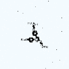 COCCOc1cc(-c2ccc(OCCNC(=O)O)cc2)n(-c2ccc(OC)cc2)n1